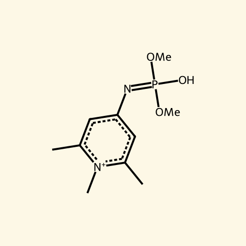 COP(O)(=Nc1cc(C)[n+](C)c(C)c1)OC